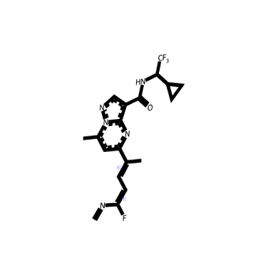 C=N/C(F)=C\C=C(/C)c1cc(C)n2ncc(C(=O)NC(C3CC3)C(F)(F)F)c2n1